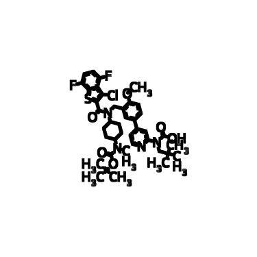 COc1ccc(-c2ccnc(N(CC(C)(C)C)C(=O)O)c2)cc1CN(C(=O)c1sc2c(F)ccc(F)c2c1Cl)C1CCC(N(C)C(=O)OC(C)(C)C)CC1